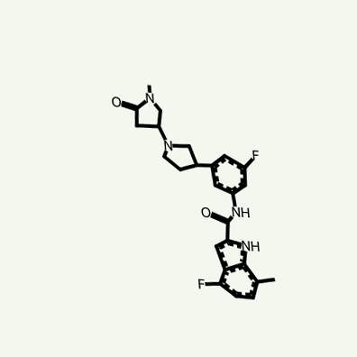 Cc1ccc(F)c2cc(C(=O)Nc3cc(F)cc(C4CCN(C5CC(=O)N(C)C5)C4)c3)[nH]c12